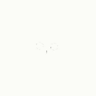 COc1ccc(C(=O)c2ccc(Cl)c(OC)c2)cc1